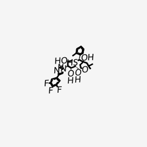 Cc1ccccc1[C@H]([SH]1C[C@H](O)[C@H](n2cc(-c3cc(F)c(F)c(F)c3)nn2)[C@@H](O)[C@H]1CO)[C@]1(O)CCOC(C)(C)C1